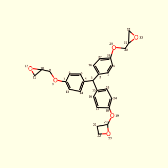 c1cc(C(c2ccc(OCC3CO3)cc2)c2ccc(OC3CCO3)cc2)ccc1OCC1CO1